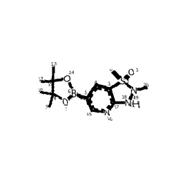 C=S1(=O)c2cc(B3OC(C)(C)C(C)(C)O3)cnc2NN1C